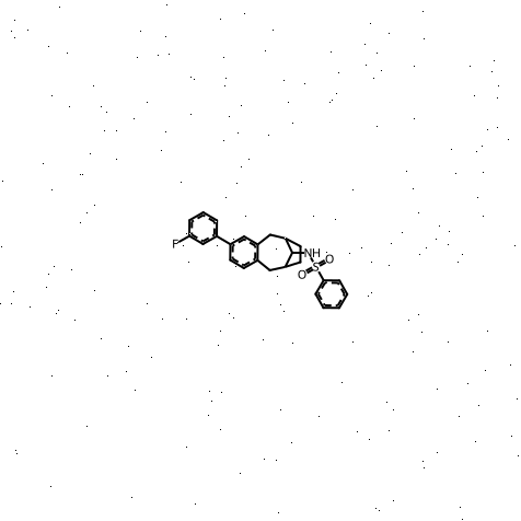 O=S(=O)(NC1C2CCC1Cc1cc(-c3cccc(F)c3)ccc1C2)c1ccccc1